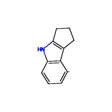 [c]1cccc2[nH]c3c(c12)CCC3